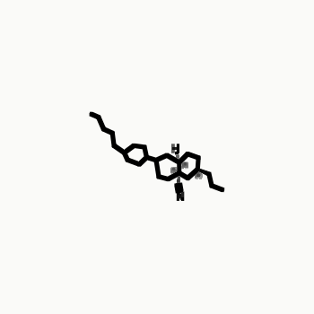 CCCCCC1CCC(C2CC[C@]3(C#N)C[C@H](CCC)CC[C@@H]3C2)CC1